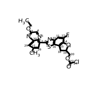 CCOc1cnc2c(-c3nc4cc(F)c5c(c4s3)CC(COC(=O)Cl)O5)cc(C)cc2n1